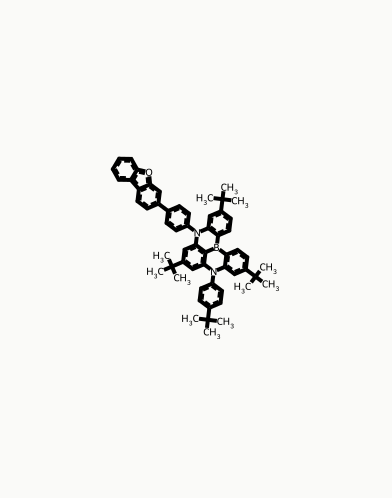 CC(C)(C)c1ccc(N2c3cc(C(C)(C)C)ccc3B3c4ccc(C(C)(C)C)cc4N(c4ccc(-c5ccc6c(c5)oc5ccccc56)cc4)c4cc(C(C)(C)C)cc2c43)cc1